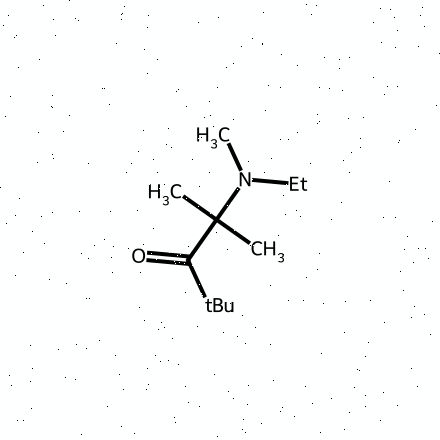 CCN(C)C(C)(C)C(=O)C(C)(C)C